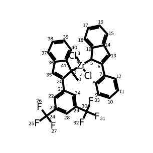 C[C]1([Zr]([Cl])([Cl])[CH]2C(c3ccccc3)=Cc3ccccc32)C(c2cc(C(F)(F)F)cc(C(F)(F)F)c2)=Cc2ccccc21